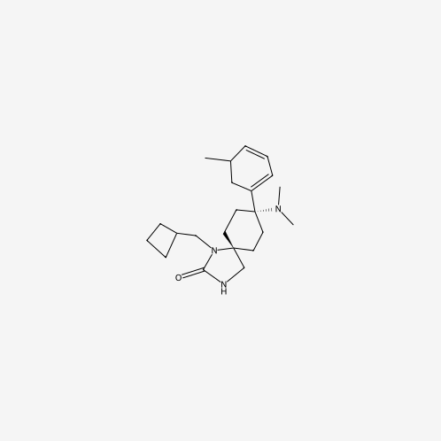 CC1C=CC=C([C@]2(N(C)C)CC[C@@]3(CC2)CNC(=O)N3CC2CCC2)C1